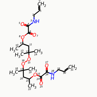 C=CCNC(=O)C(=O)OC(C)CC(C)(C)OOC(C)(C)CC(C)OC(=O)C(=O)NCC=C